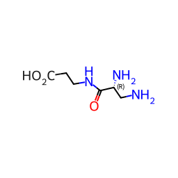 NC[C@@H](N)C(=O)NCCC(=O)O